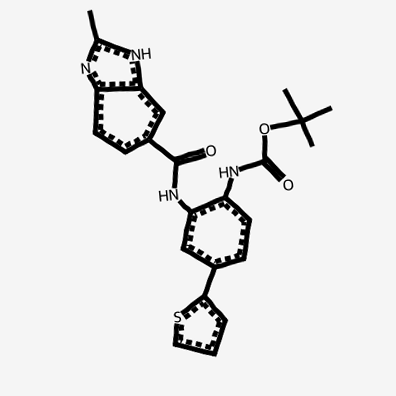 Cc1nc2ccc(C(=O)Nc3cc(-c4cccs4)ccc3NC(=O)OC(C)(C)C)cc2[nH]1